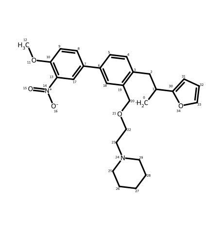 [CH2]C(Cc1ccc(-c2ccc(OC)c([N+](=O)[O-])c2)cc1COCCN1CCCCC1)c1ccco1